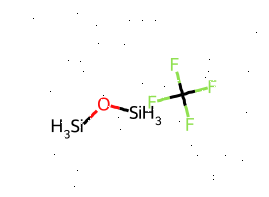 FC(F)(F)F.[SiH3]O[SiH3]